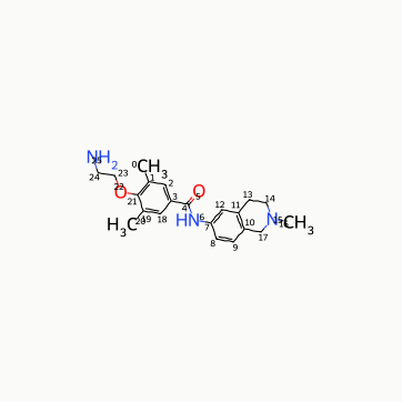 Cc1cc(C(=O)Nc2ccc3c(c2)CCN(C)C3)cc(C)c1OCCN